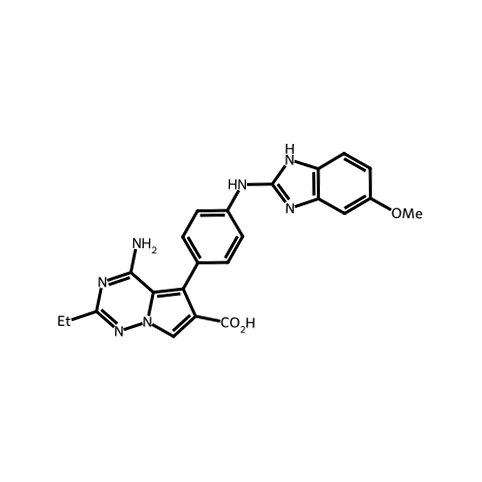 CCc1nc(N)c2c(-c3ccc(Nc4nc5cc(OC)ccc5[nH]4)cc3)c(C(=O)O)cn2n1